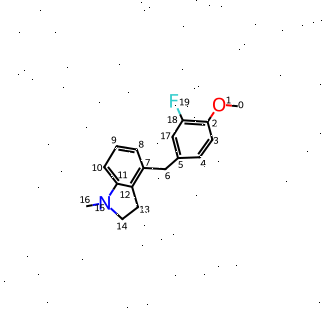 COc1ccc(Cc2cccc3c2CCN3C)cc1F